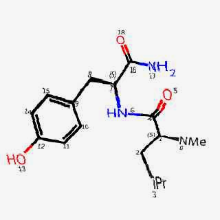 CN[C@@H](CC(C)C)C(=O)N[C@@H](Cc1ccc(O)cc1)C(N)=O